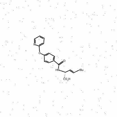 CC(C)(C)/C=C/[C@@H](NC(=O)c1ccc(Oc2ccccn2)cc1)C(=O)O